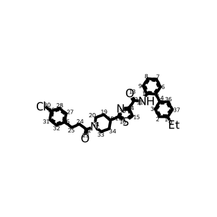 CCc1ccc(-c2ccccc2NC(=O)c2csc(C3CCN(C(=O)CCc4ccc(Cl)cc4)CC3)n2)cc1